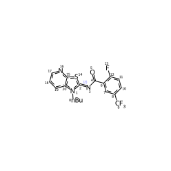 CCCCn1/c(=N/C(=O)c2cc(C(F)(F)F)ccc2F)sc2ncccc21